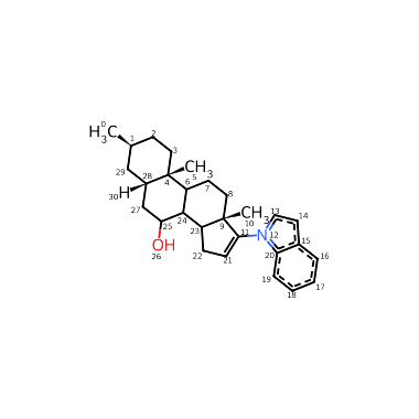 C[C@H]1CC[C@]2(C)C3CC[C@]4(C)C(n5ccc6ccccc65)=CCC4C3C(O)C[C@@H]2C1